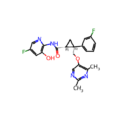 Cc1ncc(OC[C@@]2(c3cccc(F)c3)C[C@H]2C(=O)Nc2ncc(F)cc2O)c(C)n1